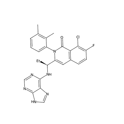 CC[C@H](Nc1ncnc2[nH]cnc12)c1cc2ccc(F)c(Cl)c2c(=O)n1-c1cccc(C)c1C